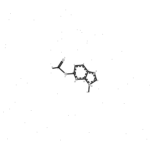 CC(=O)Oc1ccc2n[c]n(C)c2n1